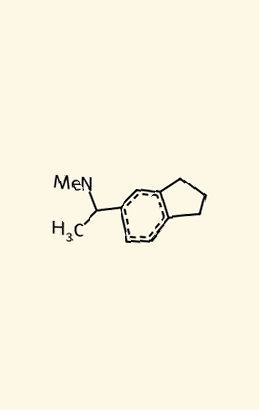 CNC(C)c1ccc2c(c1)CCC2